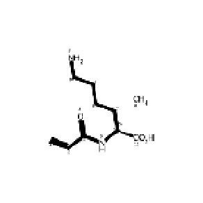 C.C=CC(=O)N[C@@H](CCCCN)C(=O)O